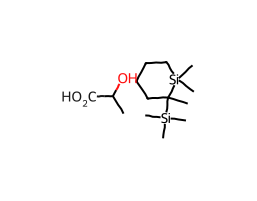 CC(O)C(=O)O.CC1([Si](C)(C)C)CCCC[Si]1(C)C